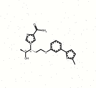 Cc1ccc(-c2cccc(OCC[C@H]([C@H](C)O)n3cnc(C(N)=O)c3)c2)s1